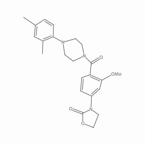 COc1cc(N2CCOC2=O)ccc1C(=O)N1CCN(c2ccc(C)cc2C)CC1